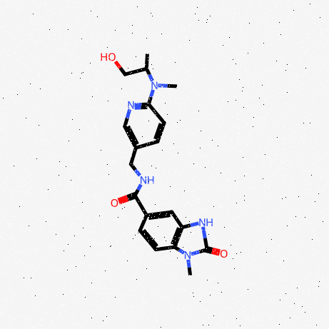 CC(CO)N(C)c1ccc(CNC(=O)c2ccc3c(c2)[nH]c(=O)n3C)cn1